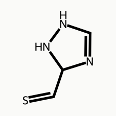 S=CC1N=CNN1